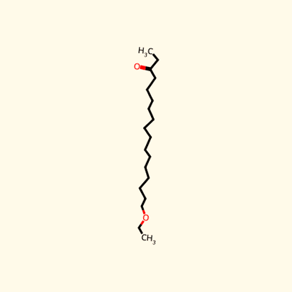 CCOCCCCCCCCCCCCCCC(=O)CC